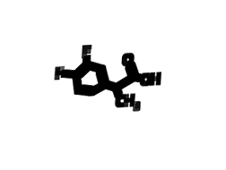 CC(C(=O)O)c1ccc(F)c(F)c1